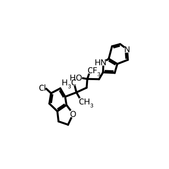 CC(C)(CC(O)(Cc1cc2cnccc2[nH]1)C(F)(F)F)c1cc(Cl)cc2c1OCC2